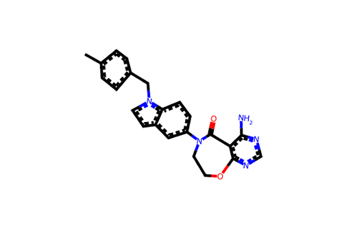 Cc1ccc(Cn2ccc3cc(N4CCOc5ncnc(N)c5C4=O)ccc32)cc1